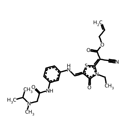 C=CCOC(=O)C(C#N)=c1sc(=CNc2cccc(NC(=O)CN(C)C(C)C)c2)c(=O)n1CC